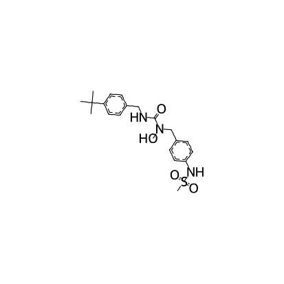 CC(C)(C)c1ccc(CNC(=O)N(O)Cc2ccc(NS(C)(=O)=O)cc2)cc1